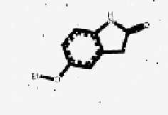 CCOc1ccc2c(c1)CC(=O)N2